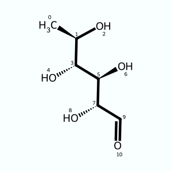 C[C@@H](O)[C@@H](O)[C@@H](O)[C@@H](O)C=O